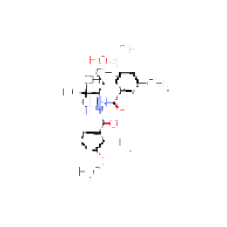 CCC(N(NC(=O)c1cccc(OC)c1C)C(=O)c1cc(C)cc(B(O)O)c1)C(C)(C)C